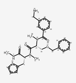 CNC(=O)[C@@H](Cc1cccs1)N(C)C(=O)[C@@H](COCc1ccccc1)N(C)C(=O)c1cccc(CN)c1